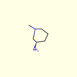 CN1CCC[C@@H](N)C1